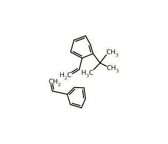 C=Cc1ccccc1.C=Cc1ccccc1C(C)(C)C